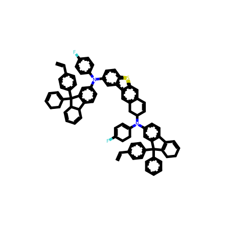 C=Cc1ccc(C2(c3ccccc3)C3=C(C=CCC3)c3ccc(N(C4=CC=C(F)CC4)C4C=Cc5cc6sc7ccc(N(c8ccc(F)cc8)c8ccc9c(c8)C(C8=CC=CCC8)(c8ccc(C=C)cc8)C8C=CC=CC98)cc7c6cc5C4)cc32)cc1